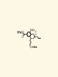 C=CC[C@H]1CC(CCCOC)c2cc(C(=O)OC)cc([N+](=O)[O-])c2N1